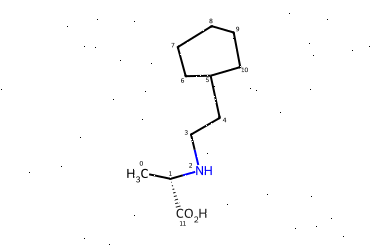 C[C@H](NCCC1CCCCC1)C(=O)O